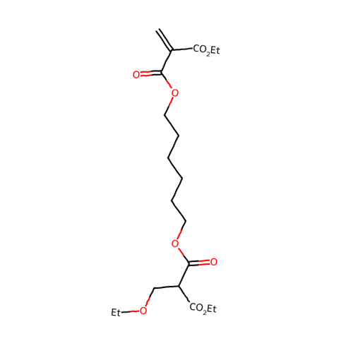 C=C(C(=O)OCC)C(=O)OCCCCCCOC(=O)C(COCC)C(=O)OCC